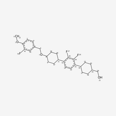 COc1ccc(COC2CCC(c3ccc(C4CCC(CO)CC4)c(F)c3F)CC2)cc1F